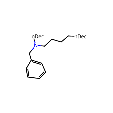 CCCCCCCCCCCCCCN(CCCCCCCCCC)Cc1ccccc1